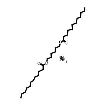 CCCCCCCCCCCC(=O)OCCCCCCOC(=O)CCCCCCCCCCC.N.N